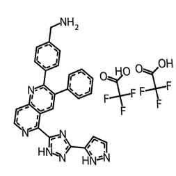 NCc1ccc(-c2nc3ccnc(-c4nc(-c5ccn[nH]5)n[nH]4)c3cc2-c2ccccc2)cc1.O=C(O)C(F)(F)F.O=C(O)C(F)(F)F